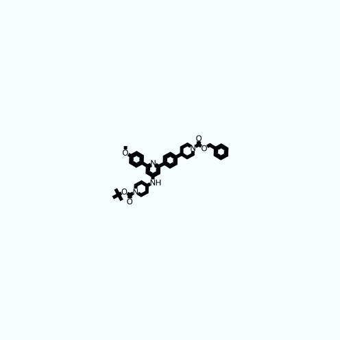 COc1ccc(-c2cc(NC3CCN(C(=O)OC(C)(C)C)CC3)cc(-c3ccc(C4CCN(C(=O)OCc5ccccc5)CC4)cc3)n2)cc1